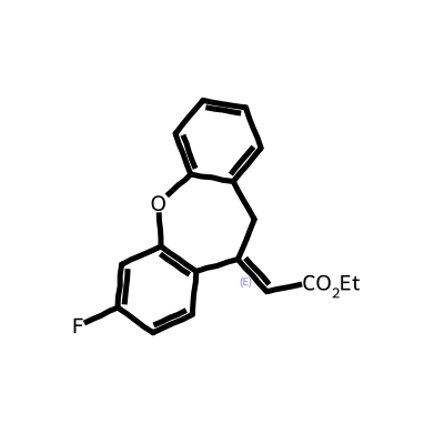 CCOC(=O)/C=C1\Cc2ccccc2Oc2cc(F)ccc21